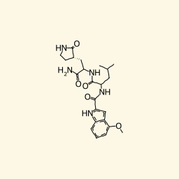 COc1cccc2[nH]c(C(=O)NC(CC(C)C)C(=O)NC(C[C@@H]3CCNC3=O)C(N)=O)cc12